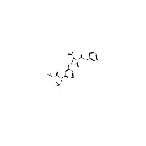 CC(C)(C)OC(=O)N(OC(C)(C)C)c1cc(C[C@H]2C(=O)N(C(=O)Nc3ccccc3)[C@@H]2C(=O)O)ccn1